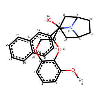 CCOc1cccc2c1OC(CN1C3CCC1CC(O)(c1ccc4ccccc4c1)C3)CO2